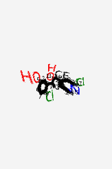 CC(c1cc(O)ccc1Cl)C(O)(c1ccnc(Cl)c1)C(F)(F)F